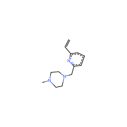 C=Cc1cccc(CN2CCN(C)CC2)n1